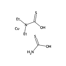 CCN(CC)C(O)=S.NC(O)=S.[Cu]